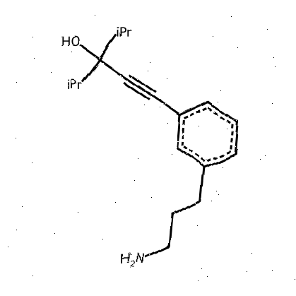 CC(C)C(O)(C#Cc1cccc(CCCN)c1)C(C)C